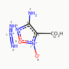 N=[N+]=N.Nc1no[n+]([O-])c1C(=O)O